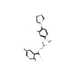 O=C(NCC1CN(c2ccc(N3CCCC3)c(C(F)(F)F)c2)C(=O)O1)C1=CC(Cl)=CCC1=S